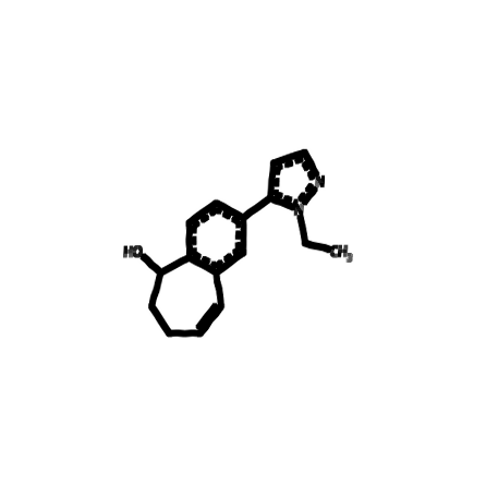 CCn1nccc1-c1ccc2c(c1)C=CCCC2O